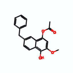 COc1cc(OC(C)=O)c2cc(Cc3ccccc3)ccc2c1O